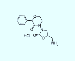 Cl.NCC1CN(N2CCOC(c3ccccc3)C2=O)C(=O)O1